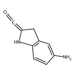 Nc1ccc2c(c1)CC(=C=O)N2